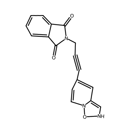 O=C1c2ccccc2C(=O)N1CC#CC1=CC2=CNON2C=C1